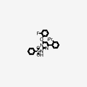 CC(C)c1ccccc1-c1cc(Oc2ccccc2F)nc(NS(=O)(=O)c2ccccc2)n1